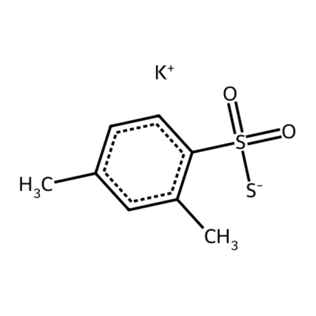 Cc1ccc(S(=O)(=O)[S-])c(C)c1.[K+]